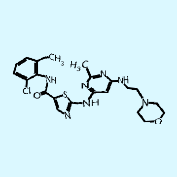 Cc1nc(NCCN2CCOCC2)cc(Nc2ncc(C(=O)Nc3c(C)cccc3Cl)s2)n1